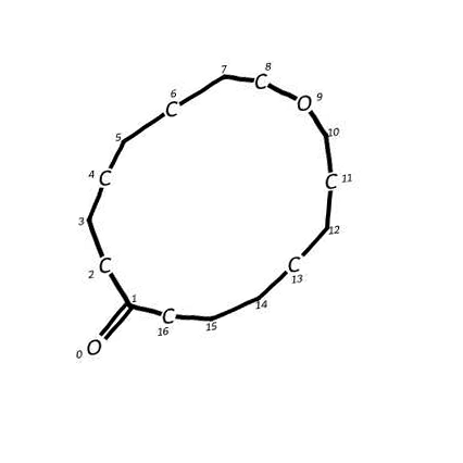 O=C1CCCCCCCOCCCCCCC1